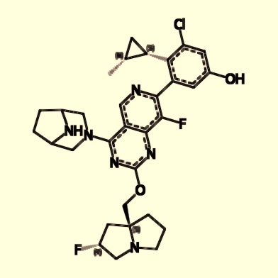 C[C@@H]1C[C@@H]1c1c(Cl)cc(O)cc1-c1ncc2c(N3CC4CCC(C3)N4)nc(OC[C@@]34CCCN3C[C@H](F)C4)nc2c1F